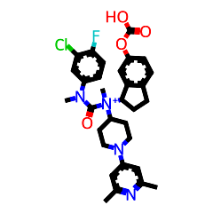 Cc1cc(N2CCC([N+](C)(C(=O)N(C)c3ccc(F)c(Cl)c3)C3CCc4ccc(OC(=O)O)cc43)CC2)cc(C)n1